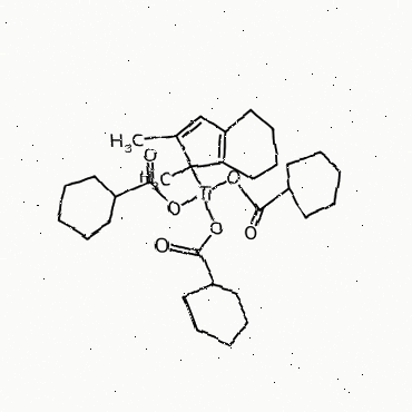 CC1=CC2=C(CCCC2)[C]1(C)[Ti]([O]C(=O)C1CCCCC1)([O]C(=O)C1CCCCC1)[O]C(=O)C1CCCCC1